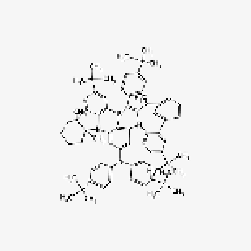 CC(C)(C)c1ccc(N(c2ccc(C(C)(C)C)cc2)c2cc3c4c(c2)N2c5c(cc(C(C)(C)C)cc5C5(C)CCCCC25C)B4C2=C4N3c3ccc(C(C)(C)C)cc3-c3cccc(c3)C4(C)c3cc(C(C)(C)C)ccc32)cc1